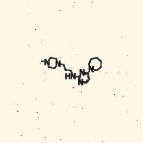 CN1CCN(CCCNc2nccc(N3CCCCCC3)n2)CC1